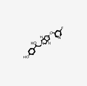 Oc1ccc(C(O)CN2C[C@H]3C[C@H](Oc4cncc(F)c4)C[C@H]3C2)cc1